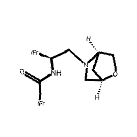 CC(C)C(=O)N[C@H](CN1C[C@H]2C[C@@H]1CO2)C(C)C